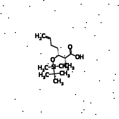 C=CCC[C@@H](O[Si](C)(C)C(C)(C)C)[C@@H](C)C(=O)O